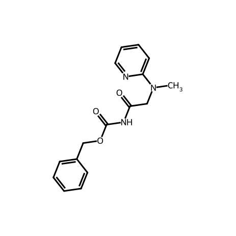 CN(CC(=O)NC(=O)OCc1ccccc1)c1ccccn1